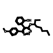 CCCCCC(CC)Oc1nnnc(-c2ccc(OC)cc2)c1-c1ccccc1O